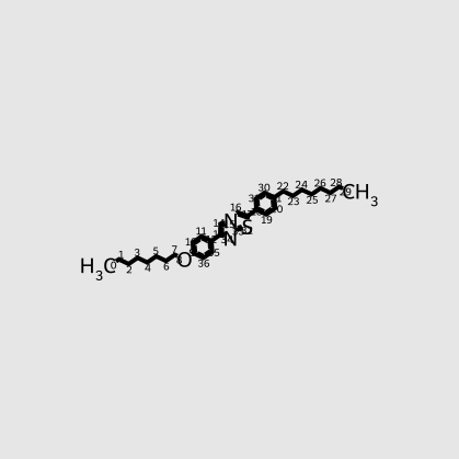 CCCCCCCCOc1ccc(-c2cn3cc(-c4ccc(CCCCCCCC)cc4)sc3n2)cc1